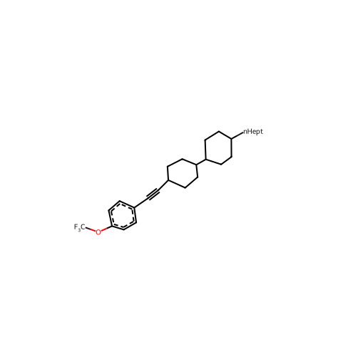 CCCCCCCC1CCC(C2CCC(C#Cc3ccc(OC(F)(F)F)cc3)CC2)CC1